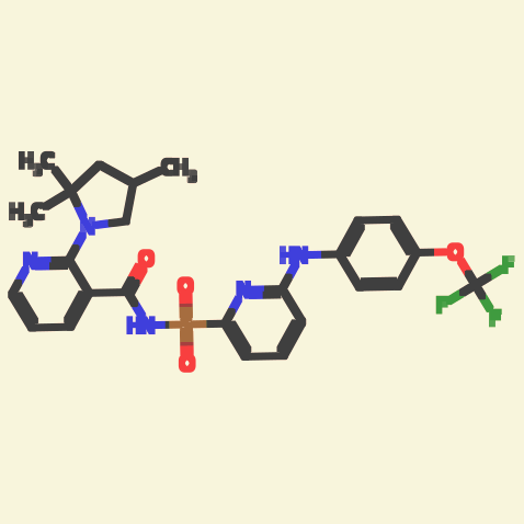 CC1CN(c2ncccc2C(=O)NS(=O)(=O)c2cccc(Nc3ccc(OC(F)(F)F)cc3)n2)C(C)(C)C1